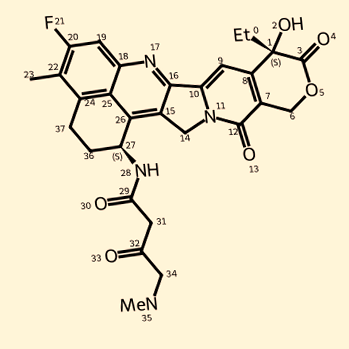 CC[C@@]1(O)C(=O)OCc2c1cc1n(c2=O)Cc2c-1nc1cc(F)c(C)c3c1c2[C@@H](NC(=O)CC(=O)CNC)CC3